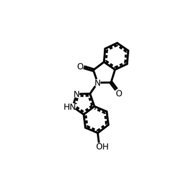 O=C1c2ccccc2C(=O)N1c1n[nH]c2cc(O)ccc12